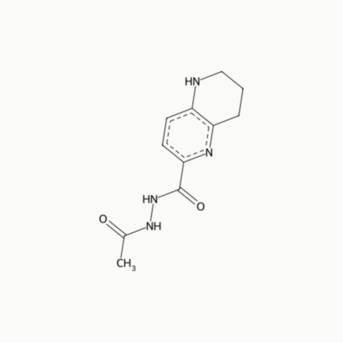 CC(=O)NNC(=O)c1ccc2c(n1)CCCN2